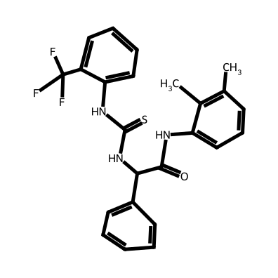 Cc1cccc(NC(=O)C(NC(=S)Nc2ccccc2C(F)(F)F)c2ccccc2)c1C